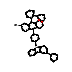 CC(C)(C)c1ccc2c(-c3ccc(-n4c5ccccc5c5cc(-c6ccccc6)ccc54)cc3)c3ccccc3c(-c3ccccc3-c3ccccc3)c2c1